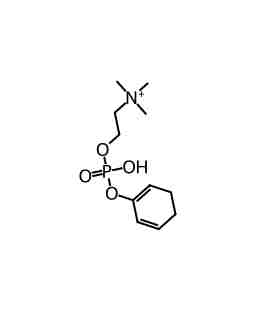 C[N+](C)(C)CCOP(=O)(O)OC1=CCCC=C1